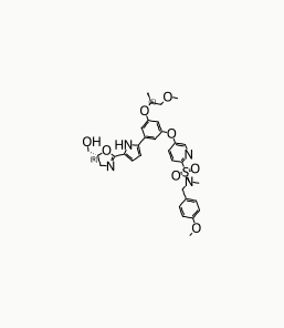 COC[C@H](C)Oc1cc(Oc2ccc(S(=O)(=O)N(C)Cc3ccc(OC)cc3)nc2)cc(-c2ccc(C3=NC[C@H](CO)O3)[nH]2)c1